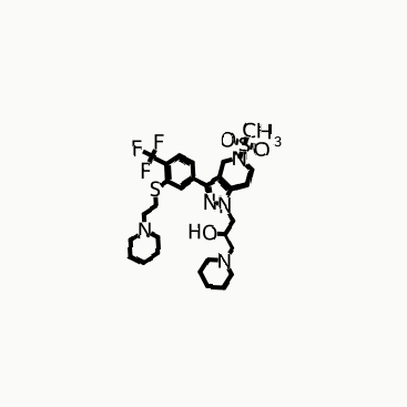 CS(=O)(=O)N1CCc2c(c(-c3ccc(C(F)(F)F)c(SCCN4CCCCC4)c3)nn2CC(O)CN2CCCCC2)C1